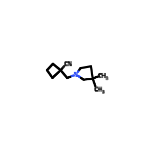 CC1(C)CCN(CC2(C#N)CCC2)C1